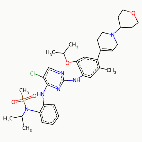 Cc1cc(Nc2ncc(Cl)c(Nc3ccccc3N(C(C)C)S(C)(=O)=O)n2)c(OC(C)C)cc1C1=CCN(C2CCOCC2)CC1